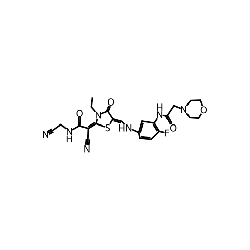 CCn1c(=C(C#N)C(=O)NCC#N)sc(=CNc2ccc(F)c(NC(=O)CN3CCOCC3)c2)c1=O